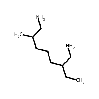 CCC(CN)CCCC(C)CN